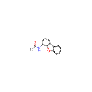 CCC(=O)Nc1cccc2c1oc1ccccc12